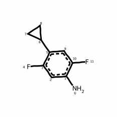 Nc1cc(F)c(C2CC2)cc1F